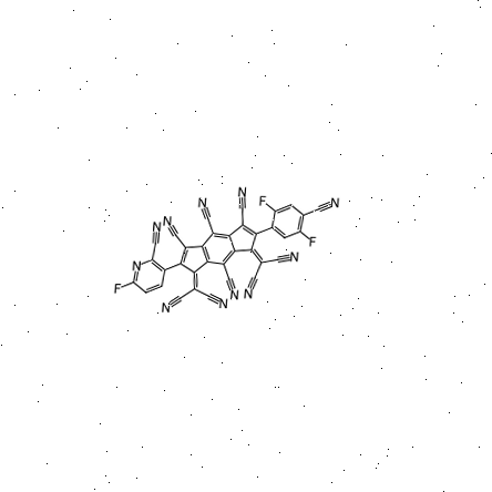 N#CC(C#N)=C1C(c2cc(F)c(C#N)cc2F)=C(C#N)c2c(C#N)c3c(c(C#N)c21)C(=C(C#N)C#N)C(c1ccc(F)nc1C#N)=C3C#N